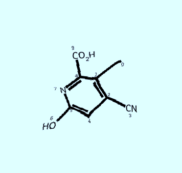 Cc1c(C#N)cc(O)nc1C(=O)O